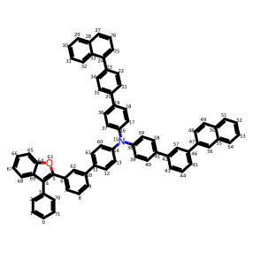 c1ccc(-c2c(-c3cccc(-c4ccc(N(c5ccc(-c6ccc(-c7cccc8ccccc78)cc6)cc5)c5ccc(-c6cccc(-c7ccc8ccccc8c7)c6)cc5)cc4)c3)oc3ccccc23)cc1